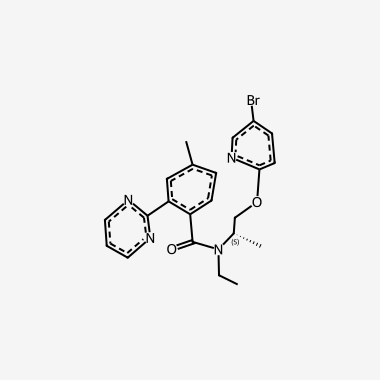 CCN(C(=O)c1ccc(C)cc1-c1ncccn1)[C@@H](C)COc1ccc(Br)cn1